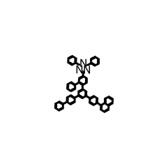 c1ccc(-c2ccc(-c3cc(-c4ccc(-c5cccc6ccccc56)cc4)cc(-c4ccc(-c5nc(-c6ccccc6)nc(-c6ccccc6)n5)cc4-c4ccccc4)c3)cc2)cc1